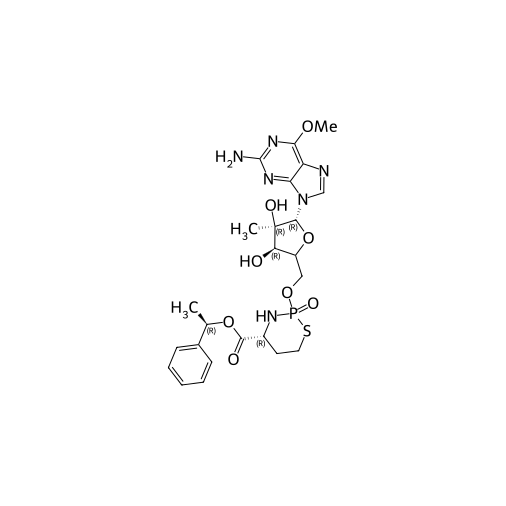 COc1nc(N)nc2c1ncn2[C@@H]1OC(COP2(=O)N[C@@H](C(=O)O[C@H](C)c3ccccc3)CCS2)[C@@H](O)[C@@]1(C)O